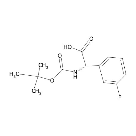 CC(C)(C)OC(=O)N[C@H](C(=O)O)c1cccc(F)c1